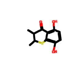 CC1Sc2c(O)ccc(O)c2C(=O)C1C